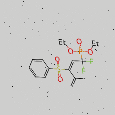 C=C(C)/C(=C\C(F)(F)P(=O)(OCC)OCC)S(=O)(=O)c1ccccc1